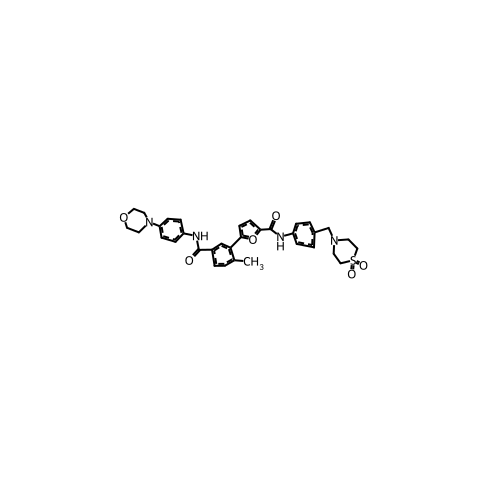 Cc1ccc(C(=O)Nc2ccc(N3CCOCC3)cc2)cc1-c1ccc(C(=O)Nc2ccc(CN3CCS(=O)(=O)CC3)cc2)o1